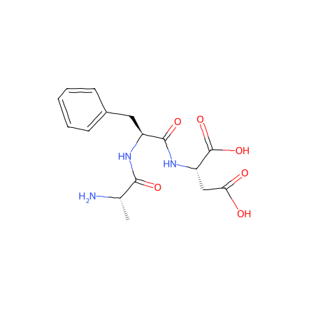 C[C@H](N)C(=O)N[C@@H](Cc1ccccc1)C(=O)N[C@@H](CC(=O)O)C(=O)O